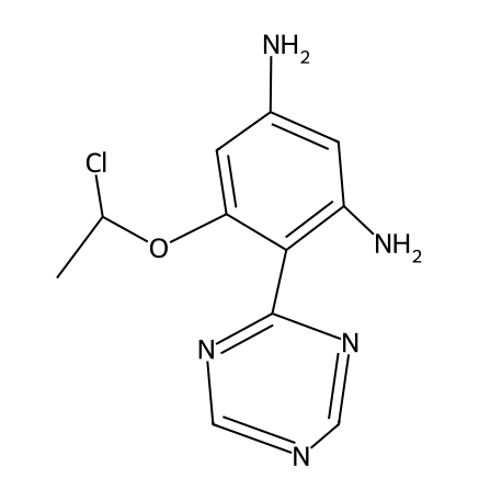 CC(Cl)Oc1cc(N)cc(N)c1-c1ncncn1